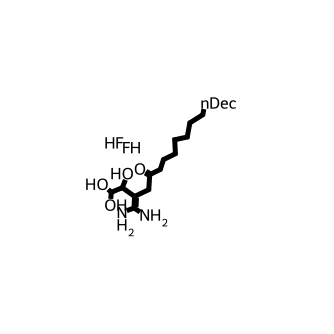 CCCCCCCCCCCCCCCCCC(=O)CC(=C(N)N)C(O)C(O)O.F.F